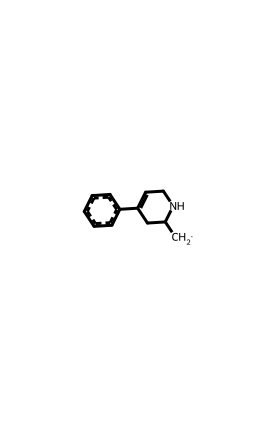 [CH2]C1CC(c2ccccc2)=CCN1